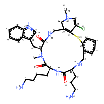 CN1C(=O)[C@H](CCCCN)NC(=O)[C@H](CCCN)NCc2ccccc2SC2=C(CNC(=O)[C@@H]1Cc1c[nH]c3ccccc13)CN(C(F)(F)F)C=C2Cl